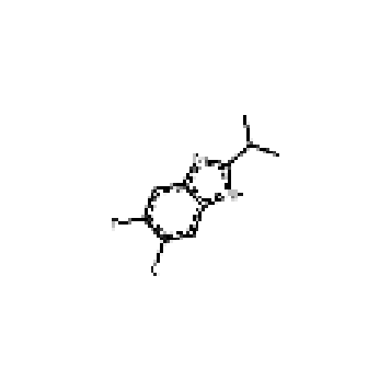 CC(C)c1nc2cc(F)c(Cl)cc2[nH]1